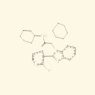 Nc1ncccc1-c1nc2ccccc2n1[C@H](C(=O)NC1CCCCC1)C1CCCCC1